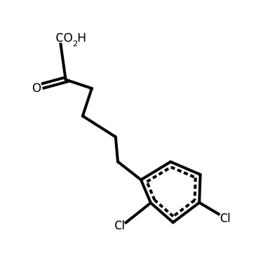 O=C(O)C(=O)CCCCc1ccc(Cl)cc1Cl